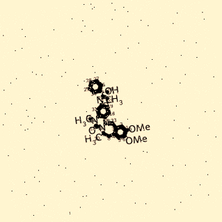 COc1cc2c(cc1OC)C[C@H](C)N(C(=O)N(C)c1cccc(N=[SH](C)(O)c3ccccc3)c1)N=C2